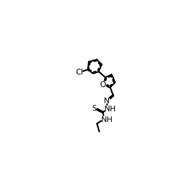 CCNC(=S)NN=Cc1ccc(-c2cccc(Cl)c2)o1